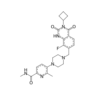 CNC(=O)c1ccc(N2CCN(Cc3ccc4c(=O)n(C5CCC5)c(=O)[nH]c4c3F)CC2)c(C)n1